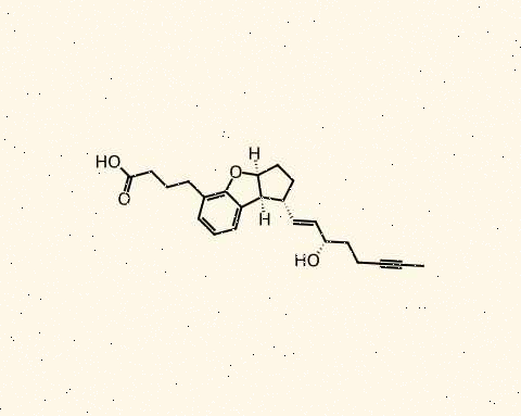 CC#CCC[C@H](O)/C=C/[C@H]1CC[C@@H]2Oc3c(CCCC(=O)O)cccc3[C@@H]21